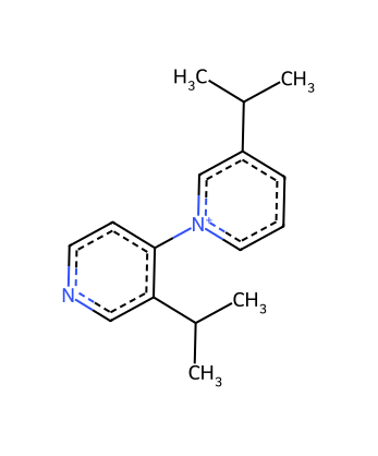 CC(C)c1ccc[n+](-c2ccncc2C(C)C)c1